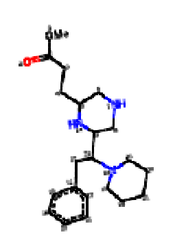 COC(=O)CCC1CNCC(C(Cc2ccccc2)N2CCCCC2)N1